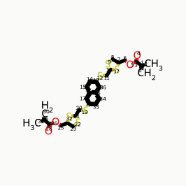 C=C(C)C(=O)OCC1CSC(CSc2ccc3cc(SCC4SCC(COC(=O)C(=C)C)S4)ccc3c2)S1